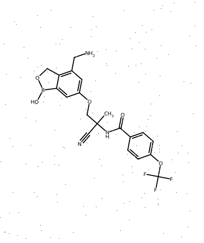 CC(C#N)(COc1cc(CN)c2c(c1)B(O)OC2)NC(=O)c1ccc(OC(F)(F)F)cc1